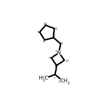 CC(C)C1CN(CC2CCCC2)C1